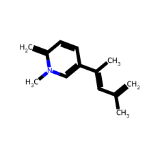 C=C(C)/C=C(\C)C1=CN(C)C(=C)C=C1